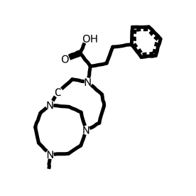 CN1CCCN2CCN(CCCN(C(CCc3ccccc3)C(=O)O)CC2)CC1